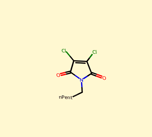 CCCCCCN1C(=O)C(Cl)=C(Cl)C1=O